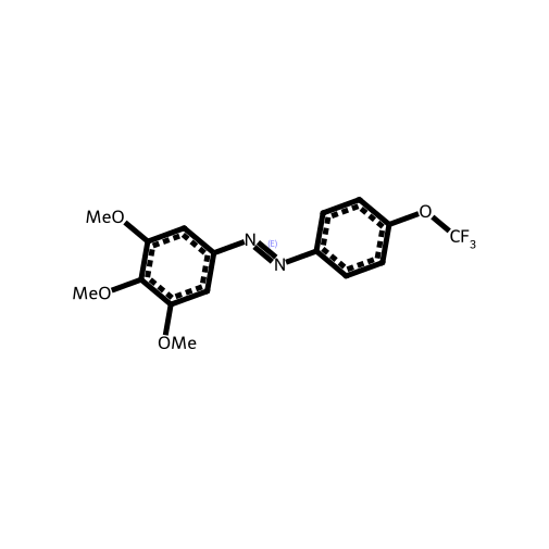 COc1cc(/N=N/c2ccc(OC(F)(F)F)cc2)cc(OC)c1OC